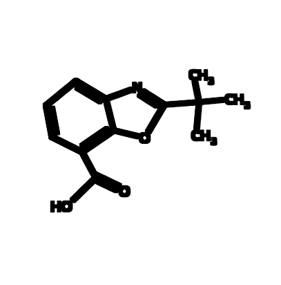 CC(C)(C)c1nc2cccc(C(=O)O)c2o1